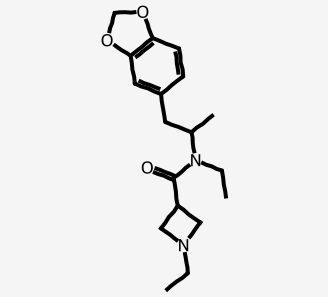 CCN1CC(C(=O)N(CC)C(C)Cc2ccc3c(c2)OCO3)C1